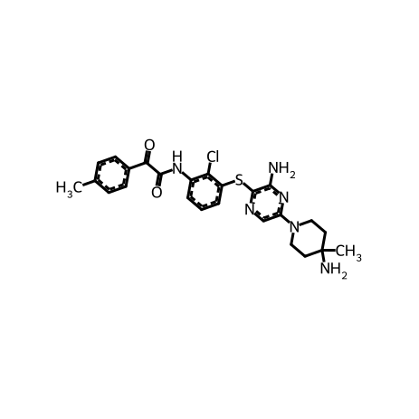 Cc1ccc(C(=O)C(=O)Nc2cccc(Sc3ncc(N4CCC(C)(N)CC4)nc3N)c2Cl)cc1